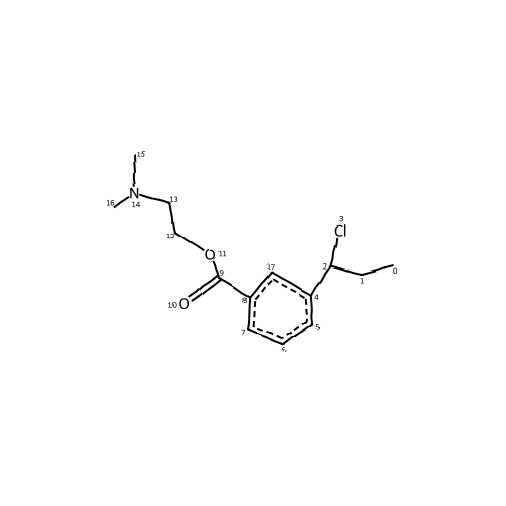 CCC(Cl)c1cccc(C(=O)OCCN(C)C)c1